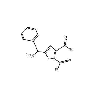 CCC(=O)c1cc(C(C(=O)O)c2ccccc2)sc1C(=O)CC